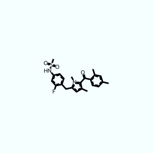 Cc1ccc(C(=O)c2c(C)cc(Cc3ccc(NS(C)(=O)=O)cc3F)n2C)c(C)c1